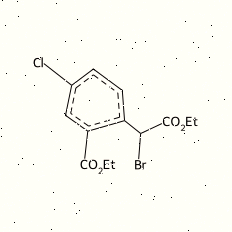 CCOC(=O)c1cc(Cl)ccc1C(Br)C(=O)OCC